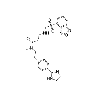 CN(CCc1ccc(C2=NCCN2)cc1)C(=O)CCNCS(=O)(=O)c1cccc2nonc12